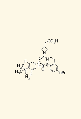 CCCc1ccc2c(c1)CCN(C(=O)N1CC(CC(=O)O)C1)[C@H]2C(=O)Nc1cc(F)c([Si](C)(C)C)c(F)c1